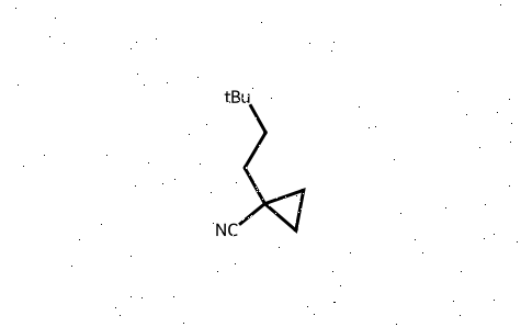 CC(C)(C)CCC1(C#N)CC1